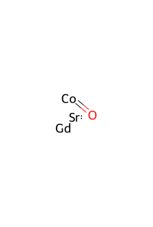 [Gd].[O]=[Co].[Sr]